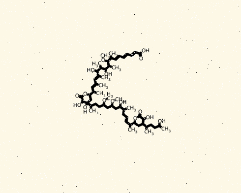 COC(CCC(C)C1(O)CC(C(C)/C=C(C)/C=C(\C)C(O)C(C)C(O)C(C)C(OC)C(C)/C=C/C=C/C=C/C(=O)O)OC(=O)C1O)CC(CC(O)C(C)C/C=C/C(C)C1CC(C(C)CCC(C)O)C(O)C(=O)O1)OC